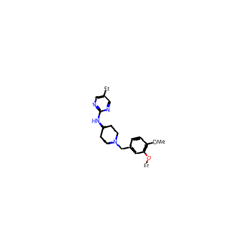 CCOc1cc(CN2CCC(Nc3ncc(CC)cn3)CC2)ccc1OC